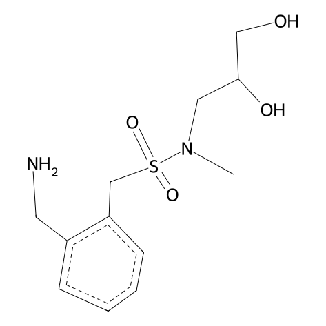 CN(CC(O)CO)S(=O)(=O)Cc1ccccc1CN